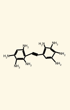 Nc1cc(C#Cc2c(N)cc(N)c(N)c2N)c(N)c(N)c1N